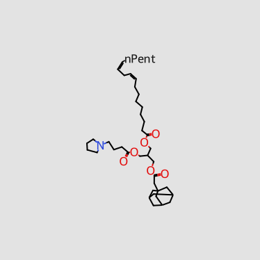 CCCCC/C=C\C/C=C\CCCCCCCC(=O)OCC(COC(=O)CCCN1CCCC1)COC(=O)CC12CC3CC(CC(C3)C1)C2